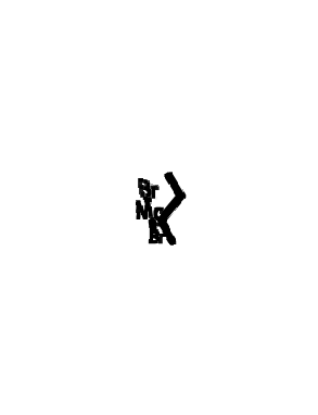 CCCC.[Br][Mg][Br]